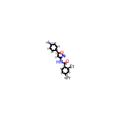 CCc1cc(C(C)C)ccc1C(=O)Nc1cc(-c2ccc(I)cc2)on1